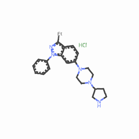 CCc1nn(-c2ccccc2)c2cc(N3CCN(C4CCNC4)CC3)ccc12.Cl